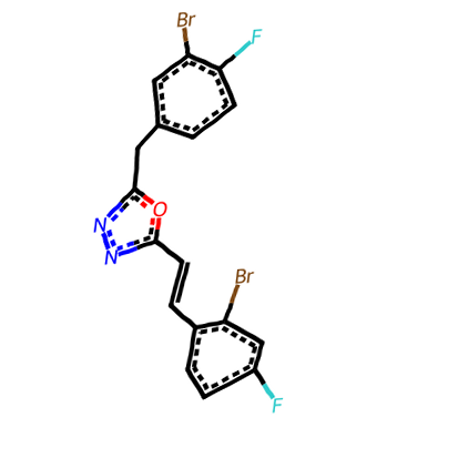 Fc1ccc(/C=C/c2nnc(Cc3ccc(F)c(Br)c3)o2)c(Br)c1